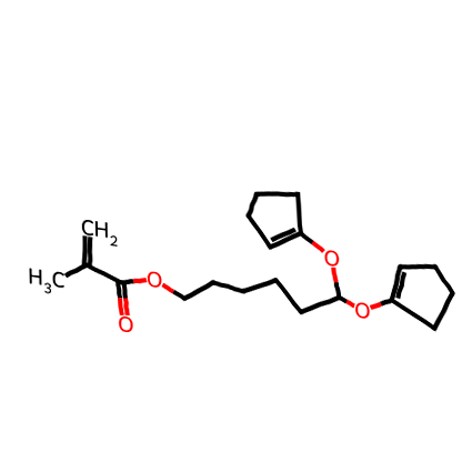 C=C(C)C(=O)OCCCCCC(OC1=CCCC1)OC1=CCCC1